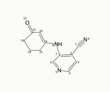 N#Cc1ccncc1NC1=CC(=O)CCC1